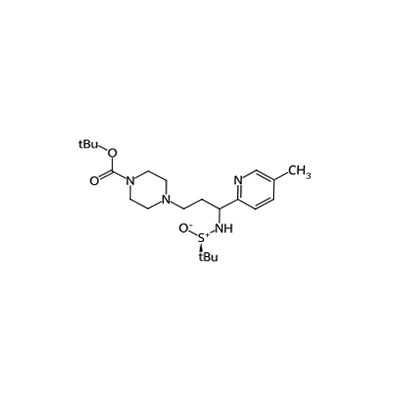 Cc1ccc(C(CCN2CCN(C(=O)OC(C)(C)C)CC2)N[S@+]([O-])C(C)(C)C)nc1